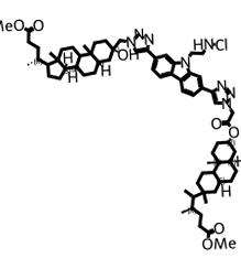 COC(=O)CC[C@@H](C)C(C)C1(C)CCC2[C@@H](CC[C@@H]3C[C@H](OC(=O)Cn4cc(-c5ccc6c7ccc(-c8cn(C[C@]9(O)CCC%10(C)C%11CCC%12(C)C([C@H](C)CCC(=O)OC)CC[C@H]%12[C@@H]%11CC[C@@H]%10C9)nn8)cc7n(CCNCl)c6c5)nn4)CC[C@@]23C)C1